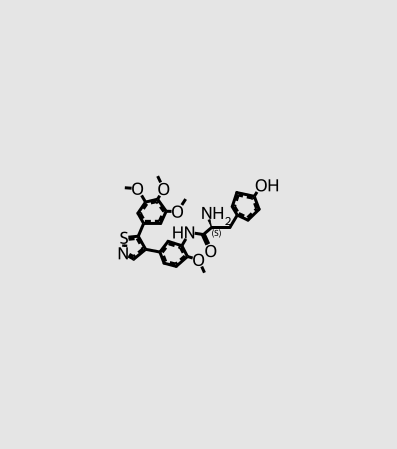 COc1ccc(-c2cnsc2-c2cc(OC)c(OC)c(OC)c2)cc1NC(=O)[C@@H](N)Cc1ccc(O)cc1